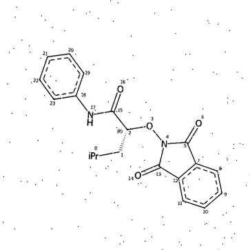 CC(C)C[C@@H](ON1C(=O)c2ccccc2C1=O)C(=O)Nc1ccccc1